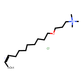 CCCCCCCC/C=C\CCCCCCCCOCCC[N+](C)(C)C.[Cl-]